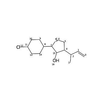 C=CC(C)C1CSC(C2CCC(Cl)CC2)C1O